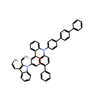 C=Cc1c(/C=C\C)c2ccccc2n1-c1cccc(-c2ccccc2N(c2ccc(-c3ccccc3)cc2)c2ccc(-c3ccc(-c4ccccc4)cc3)cc2)c1